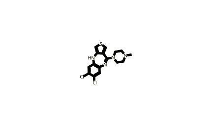 CN1CCN(C2=Nc3cc(Cl)c(Cl)cc3Nc3cscc32)CC1